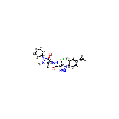 Cc1c(C(=O)Nc2c(C)n(C)n(C3CCCCC3)c2=O)nnn1-c1ccc(C2CC2)cc1Cl